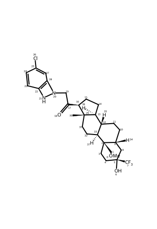 COC[C@]12CC[C@](O)(C(F)(F)F)C[C@H]1CC[C@H]1[C@@H]3CC[C@H](C(=O)Cn4[nH]c5ccc(Cl)cc54)[C@@]3(C)CC[C@@H]12